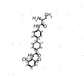 CCC(N)C(=O)Nc1ccc(C2CCN(C(=O)Nc3c(Cl)cccc3Cl)CC2)cc1